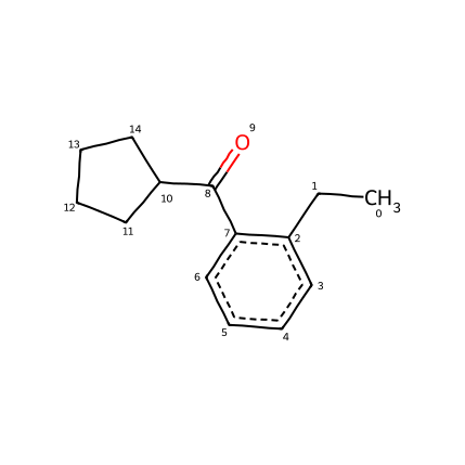 CCc1ccccc1C(=O)C1CCCC1